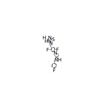 NC(=S)N/N=C/c1cc(F)c(N2CC[C@H](NCc3ccc(F)cc3)C2)cc1F